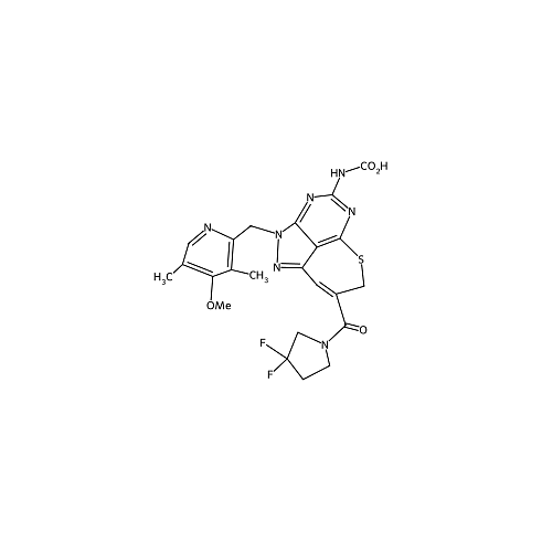 COc1c(C)cnc(Cn2nc3c4c(nc(NC(=O)O)nc42)SCC(C(=O)N2CCC(F)(F)C2)=C3)c1C